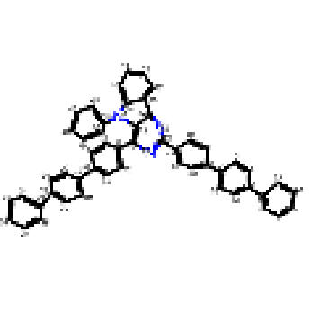 c1ccc(-c2ccc(-c3ccc(-c4nc(-c5ccc(-c6ccc(-c7ccccc7)cc6)cc5)c5c(n4)c4ccccc4n5-c4ccccc4)cc3)cc2)cc1